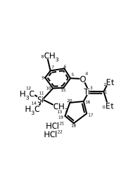 CC[C](CC)=[Ti]([O]c1cc(C)cc([Si](C)(C)C)c1)[C]1=CC=CC1.Cl.Cl